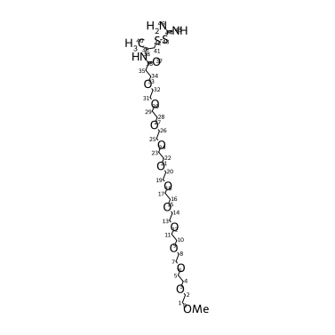 COCCOCCOCCOCCOCCOCCOCCOCCOCCOCCOCCOCCC(=O)NC(C)CSSC(=N)N